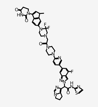 CC1C=C(N2CCC(=O)NC2=O)c2ccc(N3CCN(CC(=O)N4CCN(c5ccc(-c6cc(F)c7cn(C(C(=O)Nc8nccs8)c8ncn9c8CCC9)nc7c6)cn5)CC4)CC3(F)F)cc21